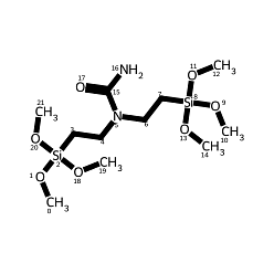 CO[Si](CCN(CC[Si](OC)(OC)OC)C(N)=O)(OC)OC